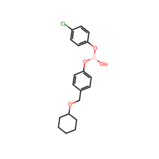 OB(Oc1ccc(Cl)cc1)Oc1ccc(COC2CCCCC2)cc1